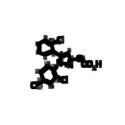 O=C(O)Oc1cc(-c2ccccc2Cl)n(-c2ccc(Cl)cc2Cl)n1